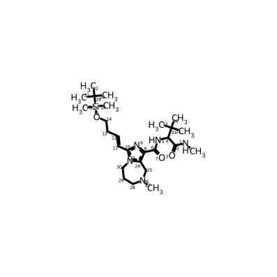 CNC(=O)C(NC(=O)c1nc(C=CCCO[Si](C)(C)C(C)(C)C)n2c1CN(C)CCC2)C(C)(C)C